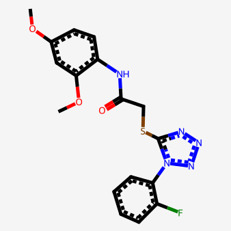 COc1ccc(NC(=O)CSc2nnnn2-c2ccccc2F)c(OC)c1